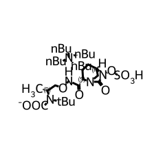 CCCC[N+](CCCC)(CCCC)CCCC.C[C@H](CONC(=O)[C@@H]1CC[C@@H]2CN1C(=O)N2OS(=O)(=O)O)N(C(=O)[O-])C(C)(C)C